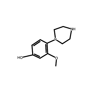 COc1cc(O)ccc1N1CCNCC1